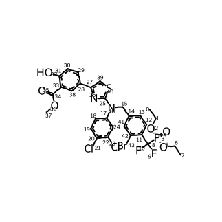 CCOP(=O)(OCC)C(F)(F)c1ccc(CN(c2ccc(Cl)c(Cl)c2)c2nc(-c3ccc(O)c(C(=O)OC)c3)cs2)cc1Br